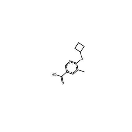 Cc1cc(C(=O)O)cnc1OC1CCC1